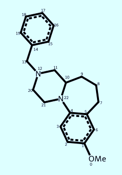 COc1ccc2c(c1)CCCC1CN(Cc3ccccc3)CCN21